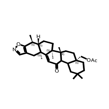 CC(=O)OC[C@]12CCC(C)(C)CC1C1C(=O)C=C3[C@@]4(C)Cc5cnoc5[C@@H](C)[C@@H]4CC[C@@]3(C)[C@]1(C)CC2